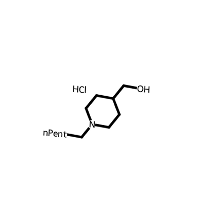 CCCCCCN1CCC(CO)CC1.Cl